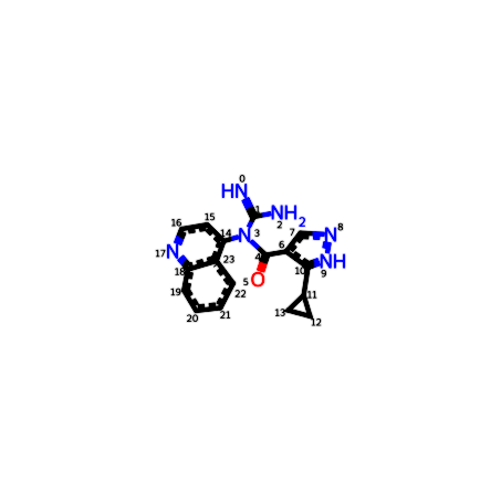 N=C(N)N(C(=O)c1cn[nH]c1C1CC1)c1ccnc2ccccc12